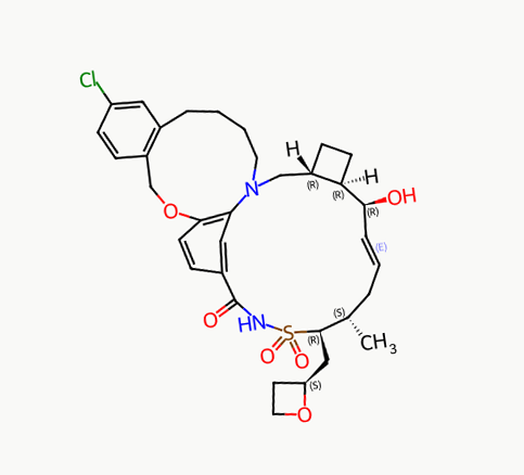 C[C@H]1C/C=C/[C@H](O)[C@@H]2CC[C@H]2CN2CCCCc3cc(Cl)ccc3COc3ccc(cc32)C(=O)NS(=O)(=O)[C@@H]1C[C@@H]1CCO1